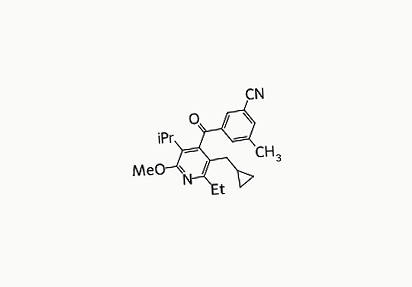 CCc1nc(OC)c(C(C)C)c(C(=O)c2cc(C)cc(C#N)c2)c1CC1CC1